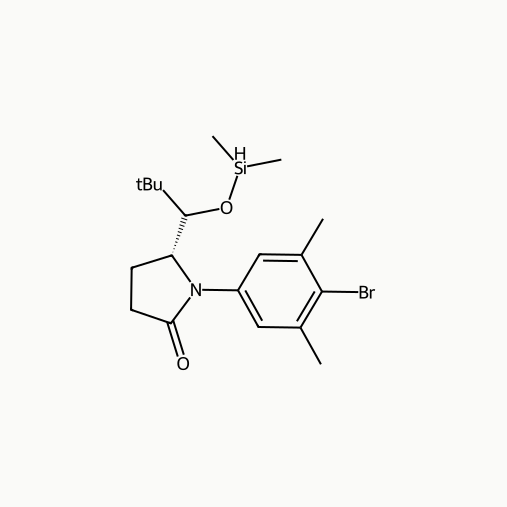 Cc1cc(N2C(=O)CC[C@@H]2C(O[SiH](C)C)C(C)(C)C)cc(C)c1Br